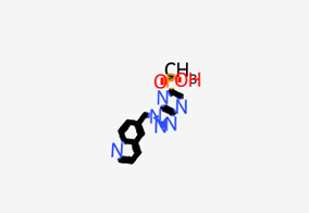 CP(=O)(O)c1cnc2nnn(Cc3ccc4ncccc4c3)c2n1